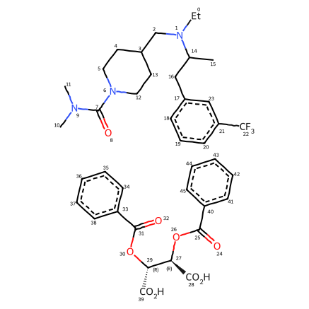 CCN(CC1CCN(C(=O)N(C)C)CC1)C(C)Cc1cccc(C(F)(F)F)c1.O=C(O[C@@H](C(=O)O)[C@@H](OC(=O)c1ccccc1)C(=O)O)c1ccccc1